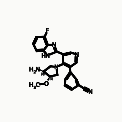 CO[C@H]1CN(c2c(-c3cccc(C#N)c3)cncc2-c2nc3c(F)cccc3[nH]2)C[C@H]1N